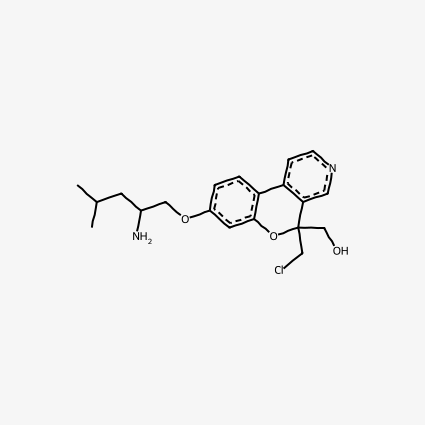 CC(C)CC(N)COc1ccc2c(c1)OC(CO)(CCl)c1cnccc1-2